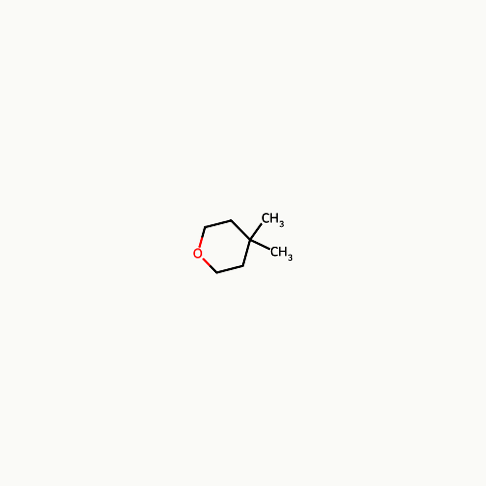 CC1(C)CCOCC1